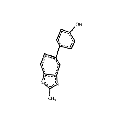 Cc1nc2cc(-c3ccc(O)cc3)ccc2s1